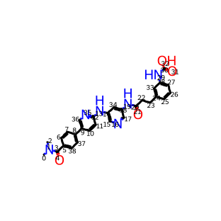 CN(C)C(=O)c1ccc(-c2ccc(Nc3cncc(NC(=O)CCc4cccc(NC(=O)O)c4)c3)nc2)cc1